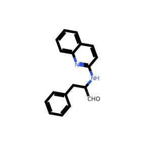 O=CC(Cc1ccccc1)Nc1ccc2ccccc2n1